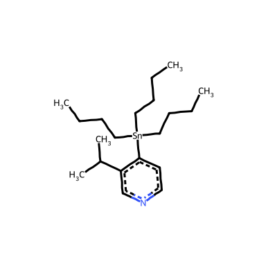 CCC[CH2][Sn]([CH2]CCC)([CH2]CCC)[c]1ccncc1C(C)C